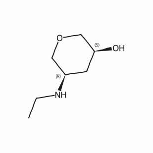 CCN[C@H]1COC[C@@H](O)C1